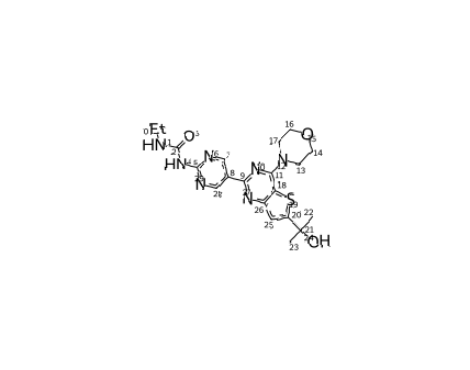 CCNC(=O)Nc1ncc(-c2nc(N3CCOCC3)c3sc(C(C)(C)O)cc3n2)cn1